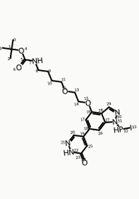 CC(C)(C)OC(=O)NCCCCOCCOc1cc(-c2cn[nH]c(=O)c2)cc2c1cnn2PI